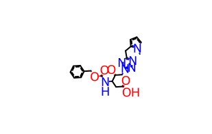 Cn1cccc1Cc1nnn(CC(=O)C(CC(=O)O)NC(=O)OCc2ccccc2)n1